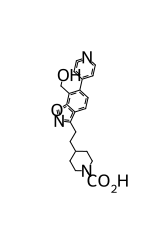 O=C(O)N1CCC(CCc2noc3c(CO)c(-c4ccncc4)ccc23)CC1